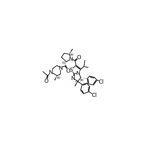 CC(=O)N1CCN(C(=O)[C@@H]2CC[C@@H](C)N2C(=O)C2=C(C(C)C)N3C(=N[C@@](C)(c4ccc(Cl)cc4)[C@H]3c3ccc(Cl)cc3)S2)C[C@H]1C